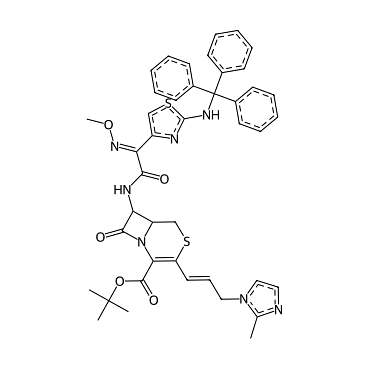 CON=C(C(=O)NC1C(=O)N2C(C(=O)OC(C)(C)C)=C(/C=C/Cn3ccnc3C)SCC12)c1csc(NC(c2ccccc2)(c2ccccc2)c2ccccc2)n1